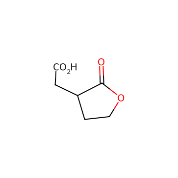 O=C(O)CC1CCOC1=O